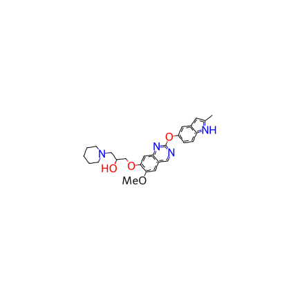 COc1cc2cnc(Oc3ccc4[nH]c(C)cc4c3)nc2cc1OC[C@@H](O)CN1CCCCC1